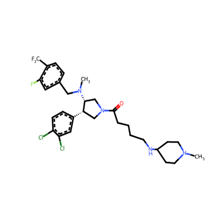 CN1CCC(NCCCCC(=O)N2C[C@H](c3ccc(Cl)c(Cl)c3)[C@H](N(C)Cc3ccc(C(F)(F)F)c(F)c3)C2)CC1